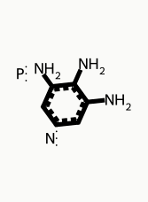 Nc1cccc(N)c1N.[N].[P]